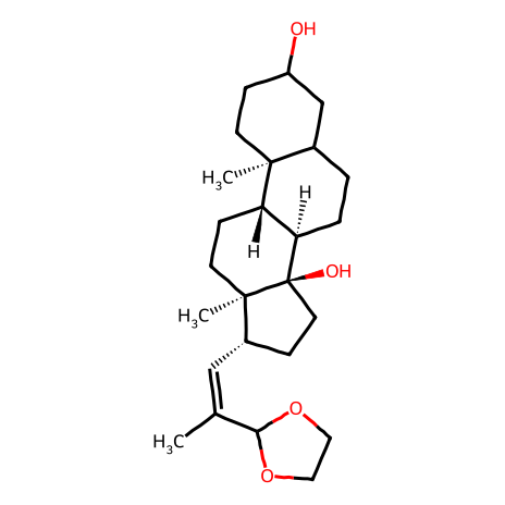 C/C(=C/[C@H]1CC[C@@]2(O)[C@@H]3CCC4CC(O)CC[C@]4(C)[C@H]3CC[C@]12C)C1OCCO1